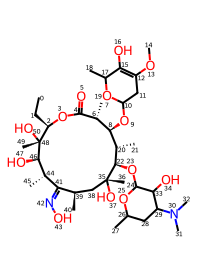 CC[C@H]1OC(=O)[C@H](C)[C@@H](OC2CC(OC)=C(O)C(C)O2)[C@H](C)[C@@H](OC2OC(C)CC(N(C)C)C2O)[C@](C)(O)C[C@@H](C)/C(=N\O)[C@H](C)[C@@H](O)[C@]1(C)O